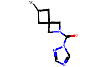 N#CC1CC2(C1)CN(C(=O)n1cncn1)C2